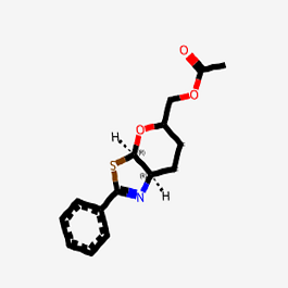 CC(=O)OCC1[C][C][C@H]2N=C(c3ccccc3)S[C@H]2O1